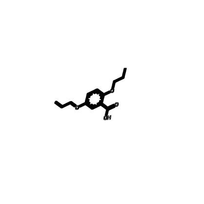 CCCOc1ccc(OCCC)c(C(=O)O)c1